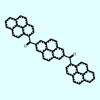 O=C(c1cc2ccc3cc(C(=O)c4ccc5ccc6cccc7ccc4c5c67)cc4ccc(c1)c2c34)c1ccc2ccc3cccc4ccc1c2c34